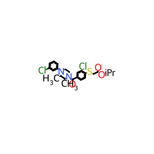 CC(C)OC(=O)CSc1ccc(C(=O)N2CCN(c3cccc(Cl)c3)[C@H](C)C2C)cc1Cl